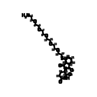 NCCOCCOCCOCCOCCOCCSc1cccc2c1C(=O)N(C1CCC(=O)NC1=O)C2=O